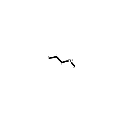 C[CH]COC